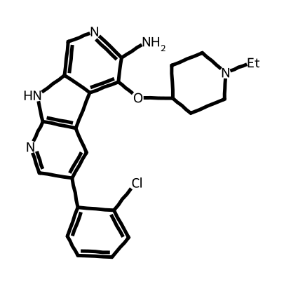 CCN1CCC(Oc2c(N)ncc3[nH]c4ncc(-c5ccccc5Cl)cc4c23)CC1